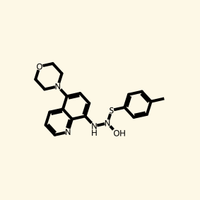 Cc1ccc(SN(O)Nc2ccc(N3CCOCC3)c3cccnc23)cc1